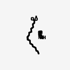 CCCCCCCC/C=C\CCCCCCCC(=O)OC.N=C=O.N=C=O